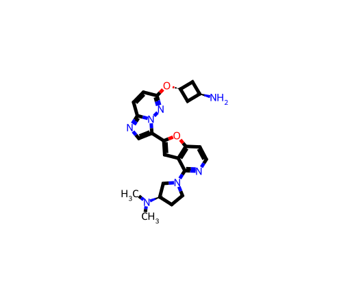 CN(C)[C@@H]1CCN(c2nccc3oc(-c4cnc5ccc(O[C@H]6C[C@H](N)C6)nn45)cc23)C1